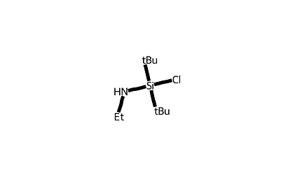 CCN[Si](Cl)(C(C)(C)C)C(C)(C)C